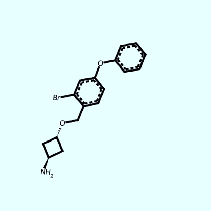 N[C@H]1C[C@H](OCc2ccc(Oc3ccccc3)cc2Br)C1